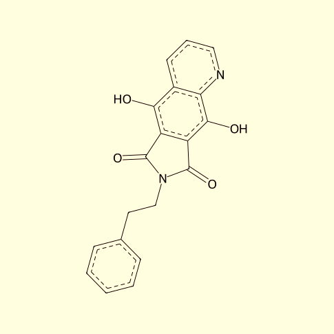 O=C1c2c(c(O)c3ncccc3c2O)C(=O)N1CCc1ccccc1